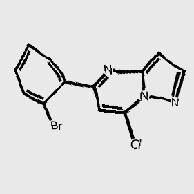 Clc1cc(-c2ccccc2Br)nc2ccnn12